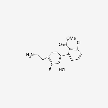 COC(=O)c1c(Cl)cccc1-c1ccc(CCN)c(F)c1.Cl